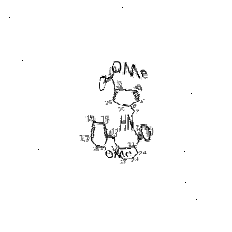 COC(=O)c1ccc(CNC(=O)C2=C(Cc3ccccc3OC)CCCC2)cc1